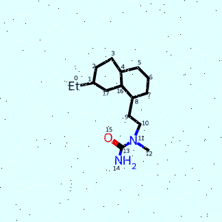 CCC1CCC2CCCC(CCN(C)C(N)=O)C2C1